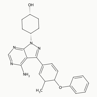 CC1C=C(c2nn([C@H]3CC[C@@H](O)CC3)c3ncnc(N)c23)C=CC1Oc1ccccc1